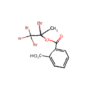 CC(Br)(OC(=O)c1ccccc1C(=O)O)C(Br)(Br)Br